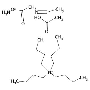 CC#N.CC(=O)O.CC(=O)[O-].CCCC[N+](CCCC)(CCCC)CCCC.N